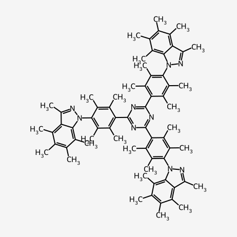 Cc1c(C)c(-n2nc(C)c3c(C)c(C)c(C)c(C)c32)c(C)c(C)c1-c1nc(-c2c(C)c(C)c(-n3nc(C)c4c(C)c(C)c(C)c(C)c43)c(C)c2C)nc(-c2c(C)c(C)c(-n3nc(C)c4c(C)c(C)c(C)c(C)c43)c(C)c2C)n1